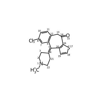 CN1CCC(=C2c3cc(Cl)ccc3CC(=O)c3sccc32)CC1